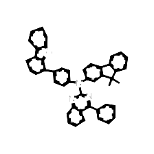 CC1(C)c2ccccc2-c2ccc(N(c3ccc(-c4cccc5c4oc4ccccc45)cc3)c3nc(-c4ccccc4)c4ccccc4n3)cc21